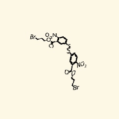 O=C(OCCCBr)c1cc(SSc2ccc([N+](=O)[O-])c(C(=O)OCCCBr)c2)ccc1[N+](=O)[O-]